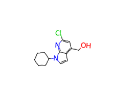 OCc1cc(Cl)nc2c1ccn2C1CCCCC1